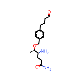 C[C@@H](OCc1ccc(CCCC=O)cc1)[C@@H](N)CCC(N)=O